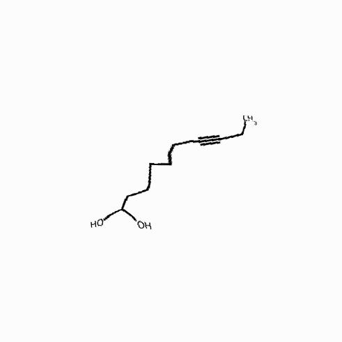 CCC#CCCCCCC(O)O